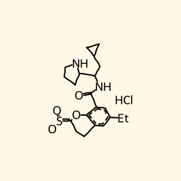 CCc1cc2c(c(C(=O)NC(CC3CC3)C3CCCN3)c1)OC(=S(=O)=O)CC2.Cl